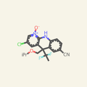 CC(C)OCC1(C(C)(F)F)c2cc(C#N)ccc2Nc2c1cc(Cl)c[n+]2[O-]